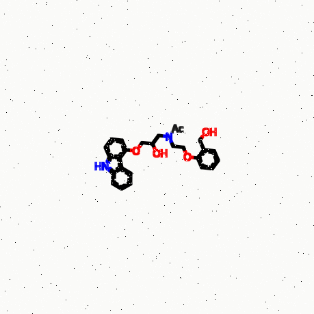 CC(=O)N(CCOc1ccccc1CO)CC(O)COc1cccc2[nH]c3ccccc3c12